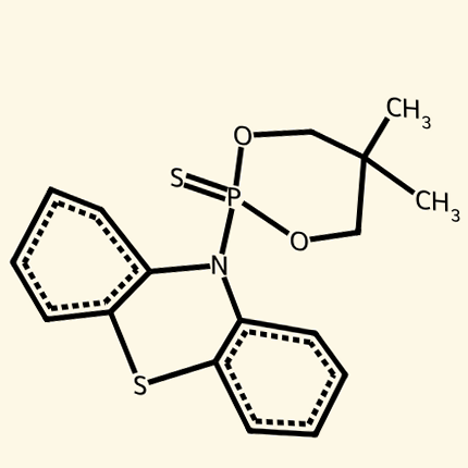 CC1(C)COP(=S)(N2c3ccccc3Sc3ccccc32)OC1